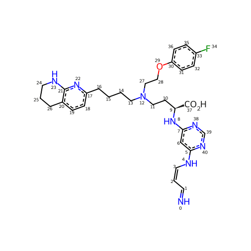 N=C/C=C\Nc1cc(N[C@@H](CCN(CCCCc2ccc3c(n2)NCCC3)CCOc2ccc(F)cc2)C(=O)O)ncn1